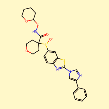 O=C(NOC1CCCCO1)C1([S+]([O-])c2ccc3nc(-n4cnc(-c5ccccc5)c4)sc3c2)CCOCC1